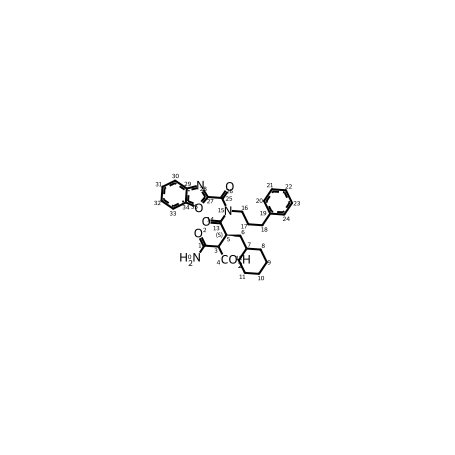 NC(=O)C(C(=O)O)[C@H](CC1CCCCC1)C(=O)N(CCCc1ccccc1)C(=O)c1nc2ccccc2o1